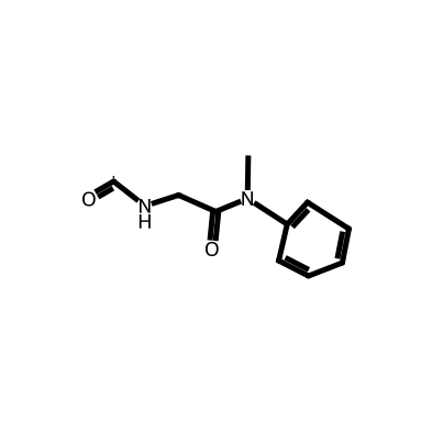 CN(C(=O)CN[C]=O)c1ccccc1